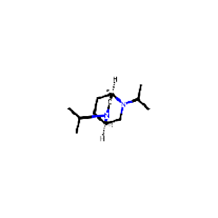 CC(C)N1C[C@H]2CC[C@@H]1CN2C(C)C